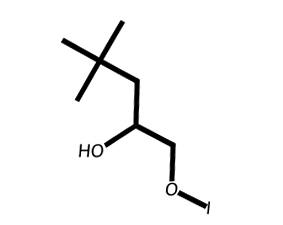 CC(C)(C)CC(O)COI